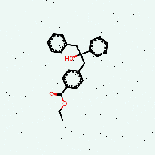 CCOC(=O)c1ccc(CC(O)(Cc2ccccc2)c2ccccc2)cc1